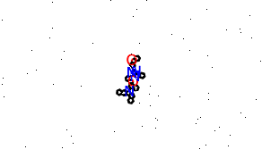 c1ccc(-c2nc(-c3ccc4oc5ccccc5c4c3)nc(-c3cccc4c3oc3c5ccccc5c(-n5c6cc7ccccc7cc6c6c7ccccc7ccc65)cc43)n2)cc1